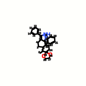 CC1C2CCc3c(n[nH]c3-c3ccccc3)C2(c2ccccc2)CCC12OCCO2